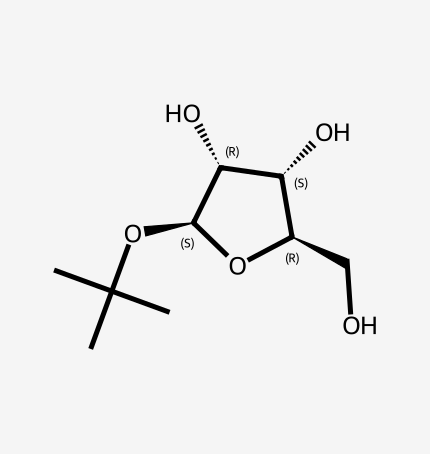 CC(C)(C)O[C@@H]1O[C@H](CO)[C@@H](O)[C@H]1O